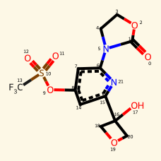 O=C1OCCN1c1cc(OS(=O)(=O)C(F)(F)F)cc(C2(O)COC2)n1